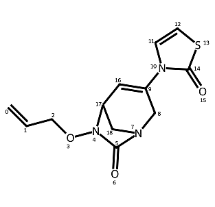 C=CCON1C(=O)N2CC(n3ccsc3=O)=CC1C2